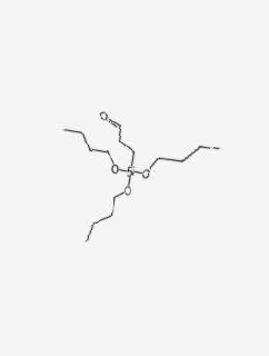 CCCCO[Si](CCC=O)(OCCCC)OCCCC